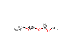 CN[SiH2]O[SiH2]O[SiH2]O[SiH3]